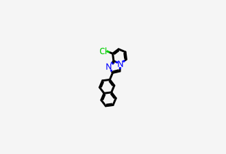 Clc1cccn2cc(-c3ccc4ccccc4c3)nc12